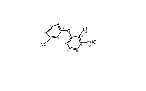 N#Cc1cccc(Oc2cccc([C]=O)c2Cl)c1